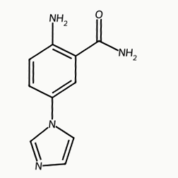 NC(=O)c1cc(-n2ccnc2)ccc1N